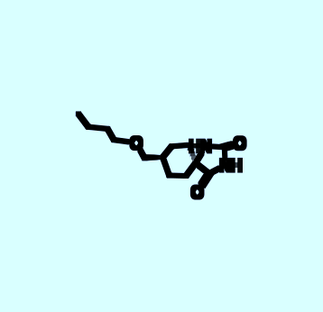 CCCCOC[C@H]1CC[C@]2(CC1)NC(=O)NC2=O